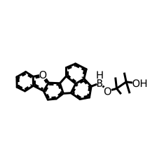 CC(C)(O)C(C)(C)OBc1ccc2c3c(cccc13)-c1c-2ccc2c1oc1ccccc12